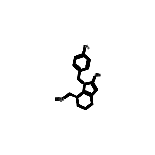 CC(C)(C)c1cc2c(n1Cc1ccc(C(F)(F)F)cc1)[C@H](CC(=O)O)CCC2